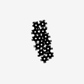 Cc1ccc(N(c2cc3c(c4ccccc24)-c2c(cc(N(c4ccc(C)cc4C)c4cccc5c4oc4c(-c6ccccc6)cccc45)c4ccccc24)C3(c2ccccc2)c2ccccc2)c2cccc3c2oc2c(-c4ccccc4)cccc23)c(C)c1